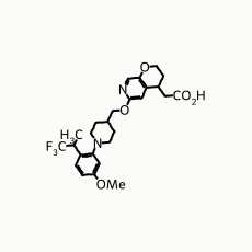 COc1ccc(C(C)C(F)(F)F)c(N2CCC(COc3cc4c(cn3)OCCC4CC(=O)O)CC2)c1